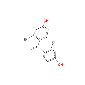 CCc1cc(O)ccc1C(=O)c1ccc(O)cc1CC